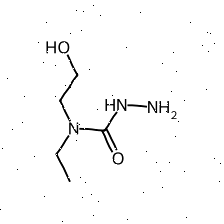 CCN(CCO)C(=O)NN